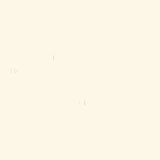 C#CCC1CC(O)=C(c2cc(-c3ccc(Cl)cc3)ccc2C)C1